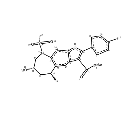 CNC(=O)c1c(-c2ccc(F)cc2)oc2nc3c(cc12)[C@@H](C)C[C@H](O)CN3S(C)(=O)=O